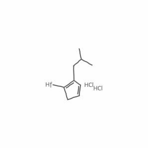 CC(C)CC1=[C]([Hf])CC=C1.Cl.Cl